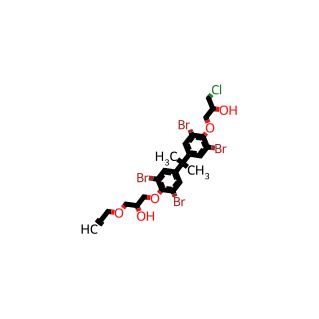 C#CCOCC(O)COc1c(Br)cc(C(C)(C)c2cc(Br)c(OCC(O)CCl)c(Br)c2)cc1Br